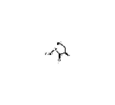 C=C(CC(C)C)C(=O)OCCCC